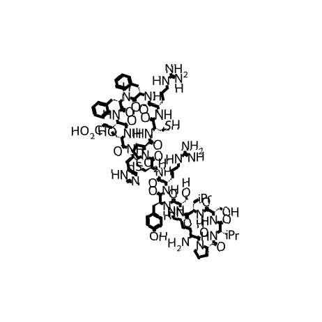 CC(C)C[C@H](NC(=O)[C@H](CO)NC(=O)[C@@H](NC(=O)[C@@H]1CCCN1C(=O)[C@@H](N)CCCCN)C(C)C)C(=O)N[C@@H](CO)C(=O)N[C@@H](Cc1ccc(O)cc1)C(=O)N[C@@H](CCCNC(=N)N)C(=O)N[C@@H](CS)C(=O)N1CCC[C@H]1C(=O)N[C@@H](CS)C(=O)N[C@@H](CCCNC(=N)N)C(=O)N[C@@H](Cc1ccccc1)C(=O)N[C@@H](Cc1ccccc1)C(=O)N[C@@H](CCC(=O)O)C(=O)N[C@@H](CO)C(=O)N[C@@H](Cc1cnc[nH]1)C(=O)O